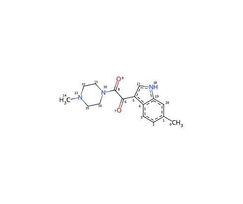 Cc1ccc2c(C(=O)C(=O)N3CCN(C)CC3)c[nH]c2c1